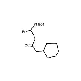 CCCCCCCC(CC)OC(=O)CC1CCCCC1